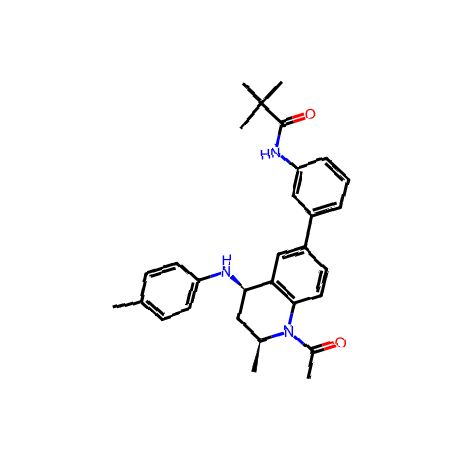 CC(=O)N1c2ccc(-c3cccc(NC(=O)C(C)(C)C)c3)cc2[C@H](Nc2ccc(C)cc2)C[C@@H]1C